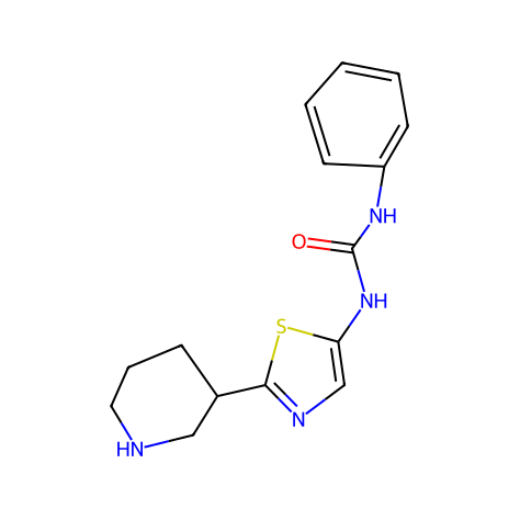 O=C(Nc1ccccc1)Nc1cnc(C2CCCNC2)s1